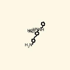 Cl.Cl.N=C(NCCc1ccccc1)c1ccc(CCc2ccc(CN)cc2)cc1